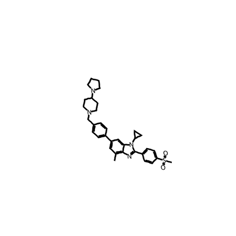 Cc1cc(-c2ccc(CN3CCC(N4CCCC4)CC3)cc2)cc2c1nc(-c1ccc(S(C)(=O)=O)cc1)n2C1CC1